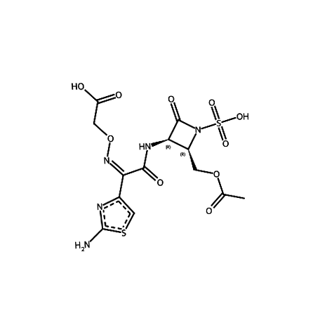 CC(=O)OC[C@H]1[C@@H](NC(=O)C(=NOCC(=O)O)c2csc(N)n2)C(=O)N1S(=O)(=O)O